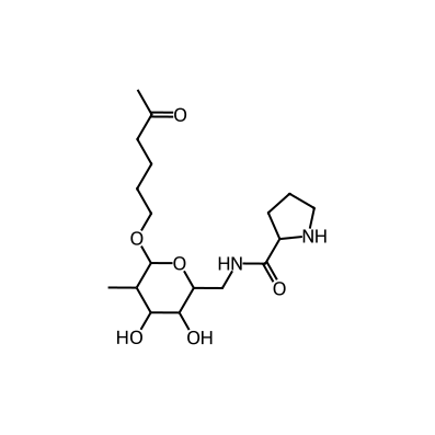 CC(=O)CCCCOC1OC(CNC(=O)C2CCCN2)C(O)C(O)C1C